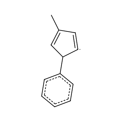 CC1=CC(c2ccccc2)[C]=C1